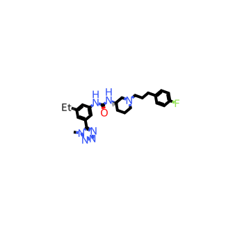 CCc1cc(NC(=O)N[C@@H]2CCCN(CCCc3ccc(F)cc3)C2)cc(-c2nnnn2C)c1